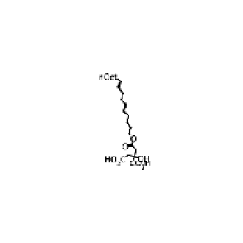 CCCCCCCCC=CCCCCCCCCOC(=O)CC(O)(CC(=O)O)C(=O)O